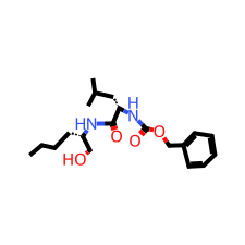 CCCC[C@@H](CO)NC(=O)[C@H](CC(C)C)NC(=O)OCc1ccccc1